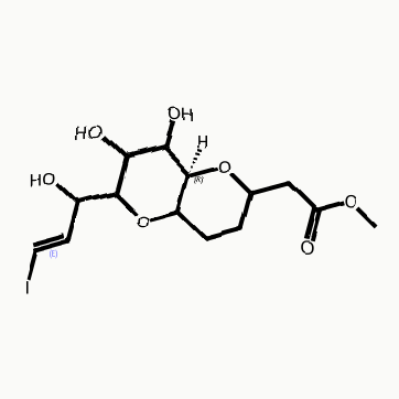 COC(=O)CC1CCC2OC(C(O)/C=C/I)C(O)C(O)[C@H]2O1